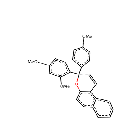 COc1ccc(C2(c3ccc(OC)cc3OC)C=Cc3c(ccc4ccccc34)O2)cc1